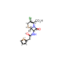 O=C(Cc1cccs1)NC1C(=O)N2C(C(=O)O)=C(Br)CS[C@H]12